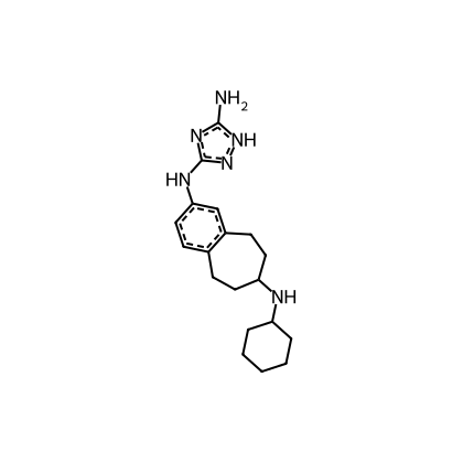 Nc1nc(Nc2ccc3c(c2)CCC(NC2CCCCC2)CC3)n[nH]1